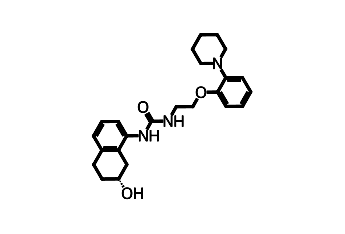 O=C(NCCOc1ccccc1N1CCCCC1)Nc1cccc2c1C[C@H](O)CC2